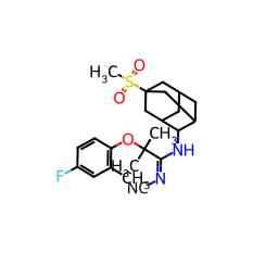 Cc1cc(F)ccc1OC(C)(C)/C(=N\C#N)NC1C2CC3CC1CC(S(C)(=O)=O)(C3)C2